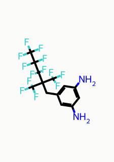 Nc1cc(N)cc(CC(C(F)(F)F)(C(F)(F)F)C(F)(F)C(F)(F)C(F)(F)F)c1